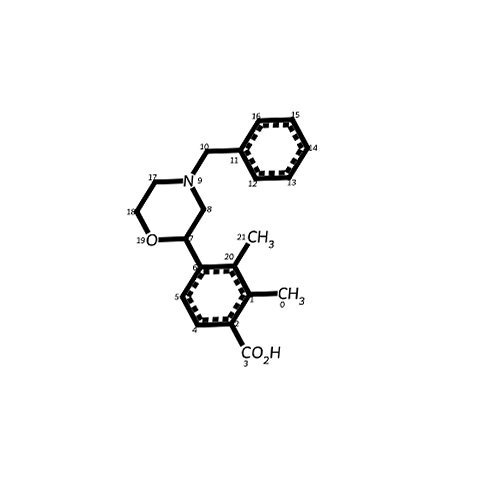 Cc1c(C(=O)O)ccc(C2CN(Cc3ccccc3)CCO2)c1C